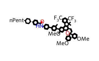 CCCCC[C@H]1CC[C@H](c2ccc(C(=O)Nc3ccc(-c4ccc(-c5cc6c7c(c8c(c6cc5OC)OC(c5ccc(OC)cc5)(c5ccc(OC)cc5)C=C8)C(C)(C)c5c-7cc(C(F)(F)F)cc5C(F)(F)F)c(C)c4)cc3)cc2)CC1